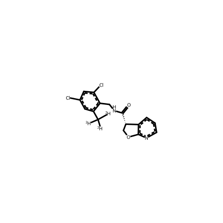 [2H]C([2H])([2H])c1cc(Cl)cc(Cl)c1CNC(=O)[C@H]1COc2ncccc21